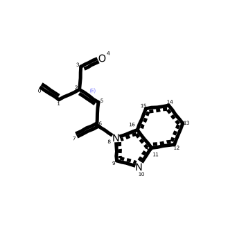 C=C/C(C=O)=C\C(=C)n1cnc2ccccc21